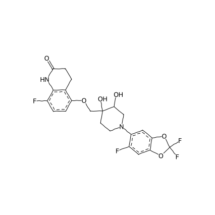 O=C1CCc2c(OCC3(O)CCN(c4cc5c(cc4F)OC(F)(F)O5)CC3O)ccc(F)c2N1